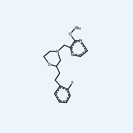 CC(C)(C)Oc1nccnc1CN1CCOC(CCc2ccccc2F)C1